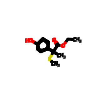 CCOC(=O)C(C)(SC)c1ccc(O)cc1